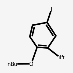 CCCCOc1ccc(I)cc1C(C)C